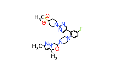 Cc1cc(C)n(CC(=O)N2CCN(c3ccc(F)cc3-c3cnc(N4CCC(S(C)(=O)=O)CC4)nc3)CC2)n1